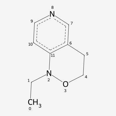 CCN1OCCc2cnccc21